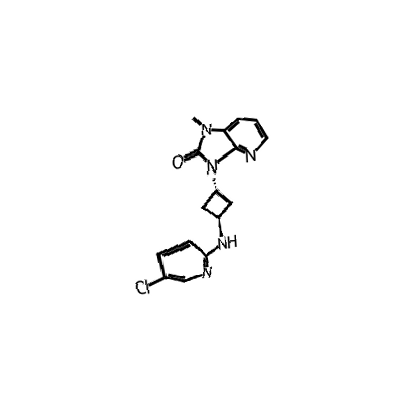 Cn1c(=O)n([C@H]2C[C@H](Nc3ccc(Cl)cn3)C2)c2ncccc21